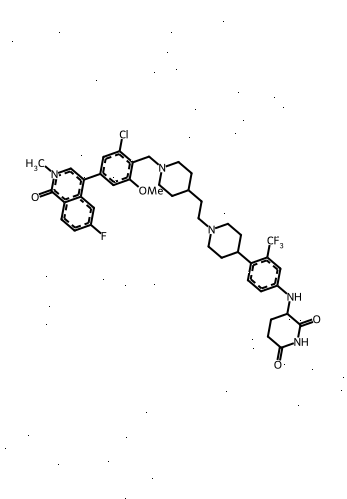 COc1cc(-c2cn(C)c(=O)c3ccc(F)cc23)cc(Cl)c1CN1CCC(CCN2CCC(c3ccc(NC4CCC(=O)NC4=O)cc3C(F)(F)F)CC2)CC1